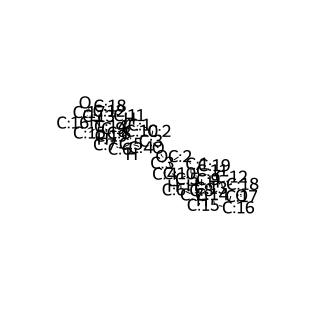 O=[C:17]1[C@@:13]2([CH3:18])[CH2:12][CH2:11][C@H:9]3[C@@H:8]([CH2:7][CH2:6][C@H:5]4[CH2:4][C@H:3](OO[C@@H:3]5[CH2:2][CH2:1][C@@:10]6([CH3:19])[C@H:5]([CH2:4]5)[CH2:6][CH2:7][C@@H:8]5[C@@H:9]6[CH2:11][CH2:12][C@@:13]6([CH3:18])[C@H:14]5[CH2:15][CH2:16][C:17]6=O)[CH2:2][CH2:1][C@@:10]43[CH3:19])[C@@H:14]2[CH2:15][CH2:16]1